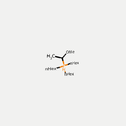 CCCCCC[PH](CCCCCC)(CCCCCC)C(C)OC